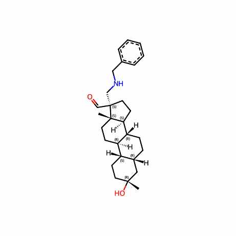 C[C@@]1(O)CC[C@H]2[C@H](CC[C@@H]3[C@@H]2CC[C@@]2(C)[C@H]3CC[C@@]2(C=O)CNCc2ccccc2)C1